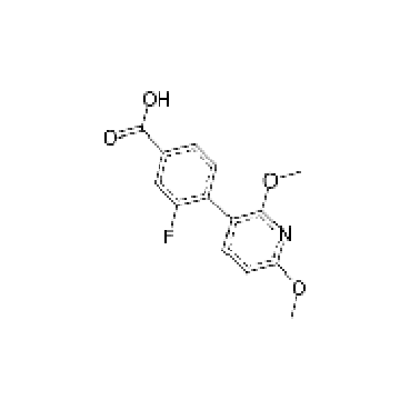 COc1ccc(-c2ccc(C(=O)O)cc2F)c(OC)n1